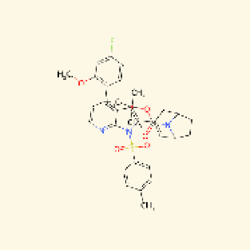 COc1cc(F)ccc1-c1ccnc2c1cc(C1=CC3CCC(C1)N3C(=O)OC(C)(C)C)n2S(=O)(=O)c1ccc(C)cc1